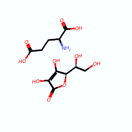 NC(CCC(=O)O)C(=O)O.O=C1O[C@H]([C@@H](O)CO)C(O)=C1O